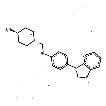 N[C@H]1CC[C@H](CNc2ccc(N3CCc4ccccc43)cc2)CC1